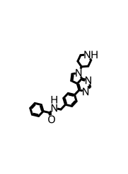 O=C(NCc1ccc(-c2ncnc3c2ccn3C2CCNCC2)cc1)c1ccccc1